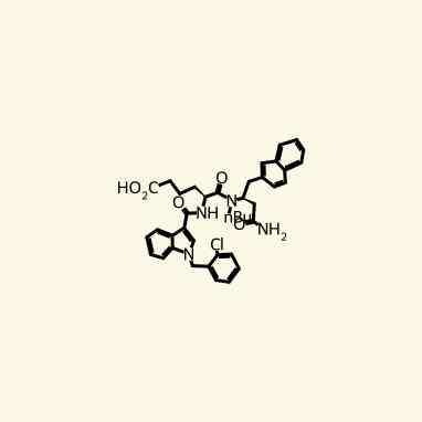 CCCCN(C(=O)[C@H](CCCC(=O)O)NC(=O)c1cn(Cc2ccccc2Cl)c2ccccc12)[C@H](CC(N)=O)Cc1ccc2ccccc2c1